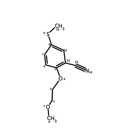 COCCOc1ccc(SC)cc1C#N